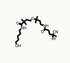 CC(C)C(C)(C#N)CCC(=O)NCCC(C)(C)OCCC(C)(C)C(=O)NCCCCCO